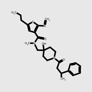 C=Nc1sc(CCC)cc1C(=O)N(C)CC1(O)CCN(C(=O)CC(C)c2ccccc2)CC1